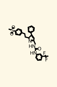 CC(F)(F)c1cccc(NC(=O)NCC2=NC(CCc3ccc(S(C)(=O)=O)cc3)C(c3ccccc3)=C2)c1